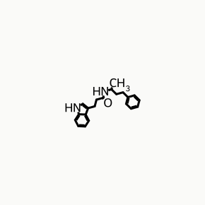 CC(CCc1ccccc1)NC(=O)CCc1c[nH]c2ccccc12